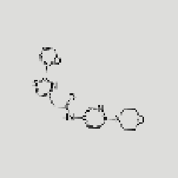 O=C(Cc1csc(-c2ccco2)n1)Nc1ccc(N2CCOCC2)nc1